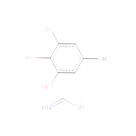 CCc1cc(C)cc(O)c1O.N=CN